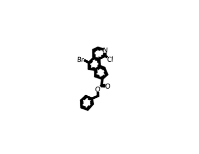 O=C(OCc1ccccc1)c1ccc2c(c1)cc(Br)c1ccnc(Cl)c12